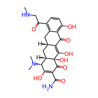 CNCC(=O)c1ccc(O)c2c1C[C@H]1C[C@H]3[C@H](N(C)C)C(O)=C(C(N)=O)C(=O)[C@@]3(O)C(O)=C1C2=O